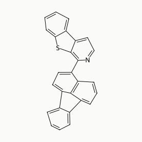 c1ccc2c(c1)-c1cccc3c(-c4nccc5c4sc4ccccc45)ccc-2c13